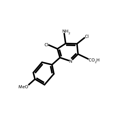 COc1ccc(-c2nc(C(=O)O)c(Cl)c(N)c2Cl)cc1